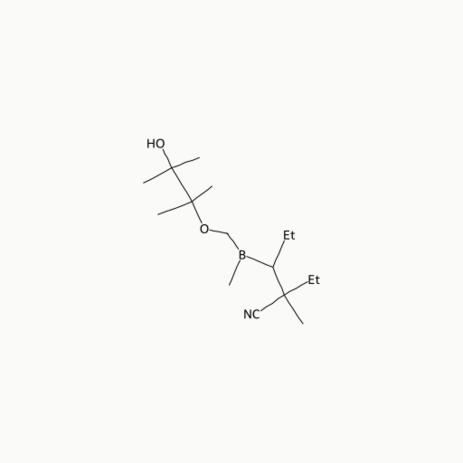 CCC(B(C)COC(C)(C)C(C)(C)O)C(C)(C#N)CC